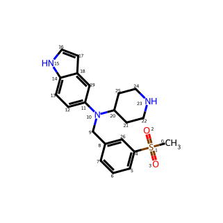 CS(=O)(=O)c1cccc(CN(c2ccc3[nH]ccc3c2)C2CCNCC2)c1